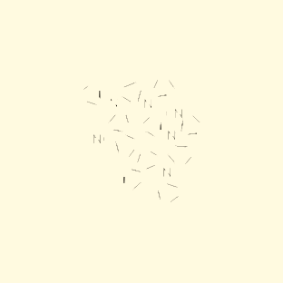 N#Cc1cc(-c2ccccc2)cc(-c2cc(-n3c4ccccc4c4ccc5c(c6ccccc6n5-c5ccccc5)c43)c(C#N)c(-n3c4ccccc4c4ccc5c(c6ccccc6n5-c5ccccc5)c43)c2)c1